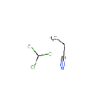 CCC#N.ClC(Cl)Cl